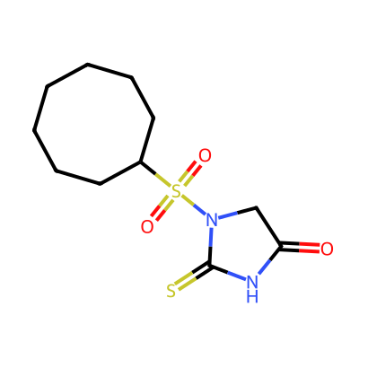 O=C1CN(S(=O)(=O)C2CCCCCCC2)C(=S)N1